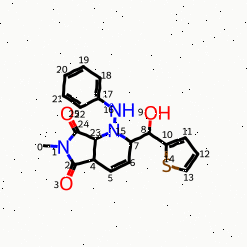 CN1C(=O)C2C=CC(C(O)c3cccs3)N(Nc3ccccc3)C2C1=O